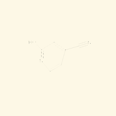 N#Cc1c[c]nc(O)c1